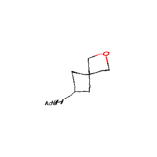 CC(=O)NC1CC2(COC2)C1